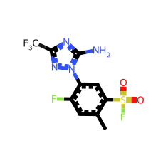 Cc1cc(F)c(-n2nc(C(F)(F)F)nc2N)cc1S(=O)(=O)F